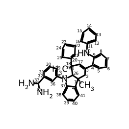 CC12CC(c3ccccc3Nc3ccccc3)=C[C@](C)(c3ccccc3)C1N(c1cccc(C(N)N)c1)c1ccccc12